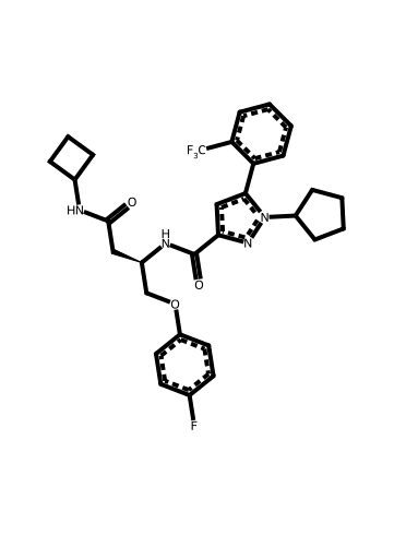 O=C(C[C@H](COc1ccc(F)cc1)NC(=O)c1cc(-c2ccccc2C(F)(F)F)n(C2CCCC2)n1)NC1CCC1